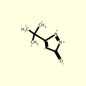 CC(C)(C)C1=CC(=O)N=N1